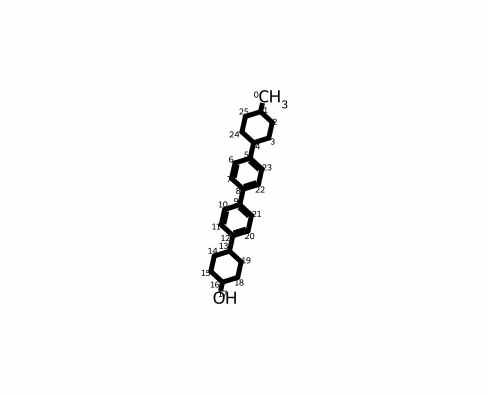 CC1CCC(c2ccc(-c3ccc(C4CCC(O)CC4)cc3)cc2)CC1